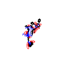 CC[C@H](C)[C@@H]([C@@H](CC(=O)N1CCC[C@H]1[C@H](OC)[C@@H](C)C(=O)N[C@@H](Cc1ccccc1)CS(=O)(=O)Cc1ccccc1)OC)N(C)C(=O)[C@@H](NC(=O)[C@H](C(C)C)N(C)CCCC(=O)NNC(=O)CCCCCN1C(=O)C=CC1=O)C(C)C